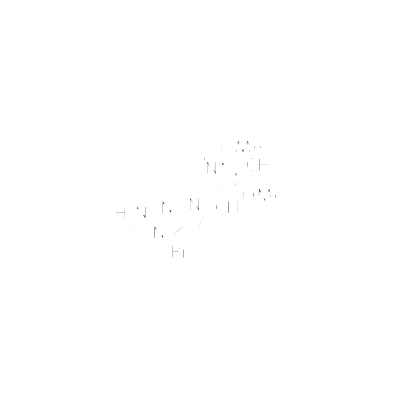 COc1c(C)c(Cn2ccc3c(Br)nc(N)nc32)[n+]([O-])c(OC)c1C